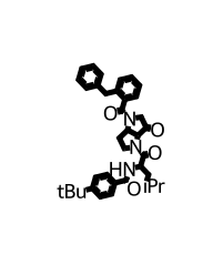 CC(C)CC(NC(=O)c1ccc(C(C)(C)C)cc1)C(=O)N1CCC2C1C(=O)CN2C(=O)c1ccccc1Cc1ccccc1